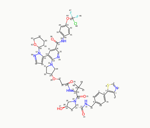 Cc1ncsc1-c1ccc(CNC(=O)[C@@H]2C[C@@H](O)CN2C(=O)[C@@H](NC(=O)CCOC2CCN(c3ncc(C(=O)Nc4ccc(OC(F)(F)Cl)cc4)cc3-c3ccnn3C3CCCCO3)C2)C(C)(C)C)cc1